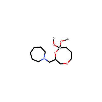 CCO[Si]1(OCC)CCCOCC(CN2CCCCCC2)O1